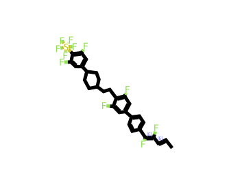 C/C=C/C(F)=C(\F)c1ccc(-c2cc(F)c(CCC3CCC(c4cc(F)c(S(F)(F)(F)(F)F)c(F)c4)CC3)c(F)c2)cc1